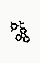 Cc1cc(C)cc(N(c2ccc3c(c2)C2(CCCCC2)c2ccccc2-3)C(C)C)c1